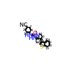 N#Cc1ccc(NC(=O)N[C@]2(C(=O)O)NCCC2c2csc3ccccc23)cc1